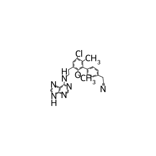 COc1c(CCNc2ncnc3[nH]cnc23)cc(Cl)c(C)c1-c1ccc(CC#N)cc1